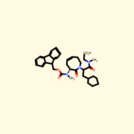 CN(CC(=O)O)C(=O)C(CC1CCCCC1)N1CC/C=C\C[C@H](N(C)C(=O)OCC2c3ccccc3-c3ccccc32)C1=O